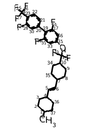 CC1CCC(/C=C/C2CCC(C(F)(F)Oc3cc(F)c(-c4ccc(C(F)(F)F)c(F)c4)c(F)c3)CC2)CC1